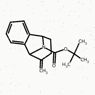 C=C1CCC2c3ccccc3C1N2C(=O)OC(C)(C)C